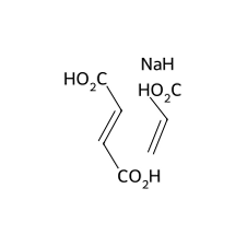 C=CC(=O)O.O=C(O)C=CC(=O)O.[NaH]